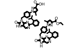 CCOC(=O)c1cc(C)n(-c2ccc(Cn3c(=O)[nH]c4cnc(-c5ccccc5C(C)C)nc43)cc2)n1.Cc1cc(C(=O)O)nn1-c1ccc(Cn2c(=O)[nH]c3cnc(-c4ccccc4C(C)C)nc32)cc1